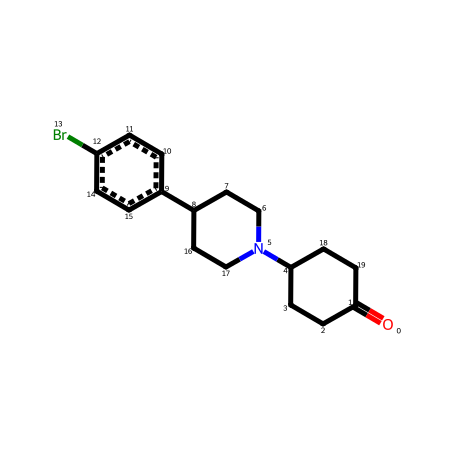 O=C1CCC(N2CCC(c3ccc(Br)cc3)CC2)CC1